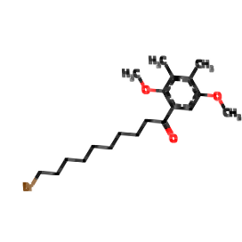 COc1cc(C(=O)CCCCCCCCCBr)c(OC)c(C)c1C